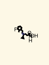 Cc1c(F)cccc1C/C=C(\CCC(=O)NO)C1CC1